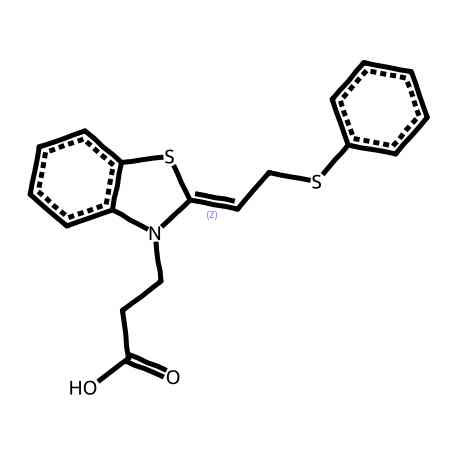 O=C(O)CCN1/C(=C/CSc2ccccc2)Sc2ccccc21